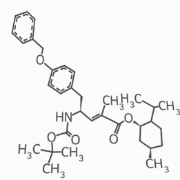 C/C(=C\[C@H](Cc1ccc(OCc2ccccc2)cc1)NC(=O)OC(C)(C)C)C(=O)O[C@@H]1C[C@H](C)CCC1C(C)C